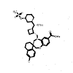 COC(=O)c1ccc2c(c1)N(C[C@@H]1CC[C@H]1[C@@H](OC)[C@@H]1CCC[C@H](OS(C)(=O)=O)C1)C[C@@]1(CCCc3cc(Cl)ccc31)CO2